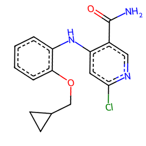 NC(=O)c1cnc(Cl)cc1Nc1ccccc1OCC1CC1